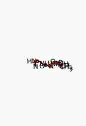 CC(C)(C)OC(=O)N1CCC(C(=O)NCc2cc(-c3ccc(C(=O)NCCc4ccc5[nH]cc(C#N)c5c4)cc3)ccn2)CC1